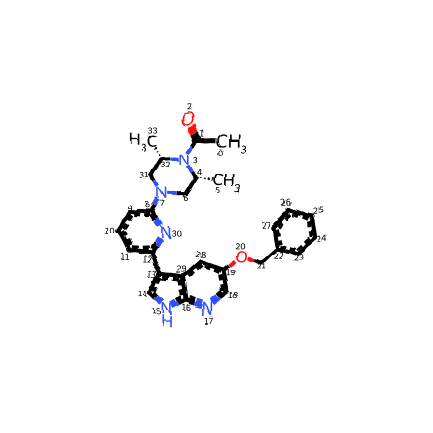 CC(=O)N1[C@H](C)CN(c2cccc(-c3c[nH]c4ncc(OCc5ccccc5)cc34)n2)C[C@@H]1C